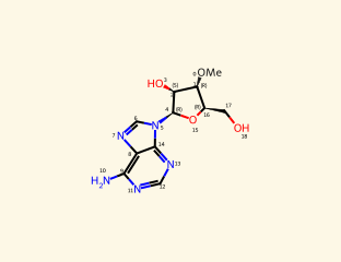 CO[C@@H]1[C@H](O)[C@H](n2cnc3c(N)ncnc32)O[C@@H]1CO